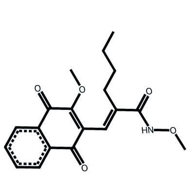 CCCC/C(=C\C1=C(OC)C(=O)c2ccccc2C1=O)C(=O)NOC